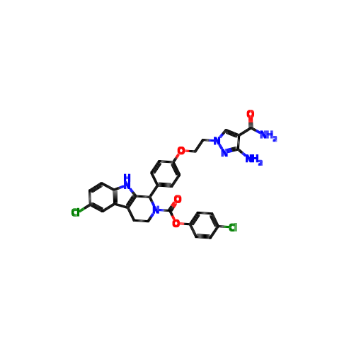 NC(=O)c1cn(CCOc2ccc(C3c4[nH]c5ccc(Cl)cc5c4CCN3C(=O)Oc3ccc(Cl)cc3)cc2)nc1N